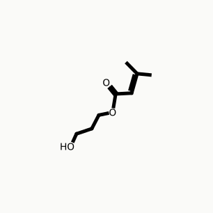 CC(C)=CC(=O)OCCCO